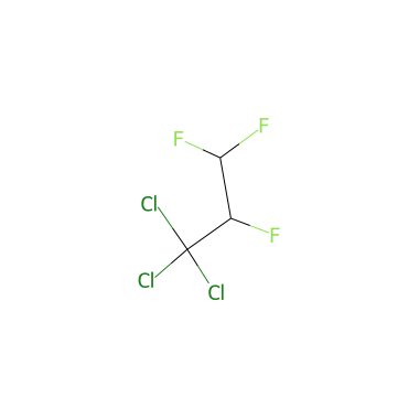 FC(F)C(F)C(Cl)(Cl)Cl